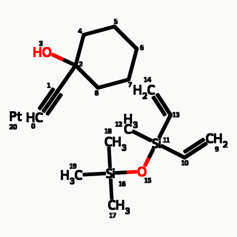 C#CC1(O)CCCCC1.C=C[Si](C)(C=C)O[Si](C)(C)C.[Pt]